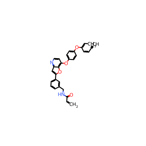 C#C/C=C\C(=C/C)Oc1ccc(Oc2ccnc3cc(-c4cccc(CNC(=O)C=C)c4)oc23)cc1